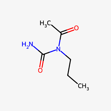 CCCN(C(C)=O)C(N)=O